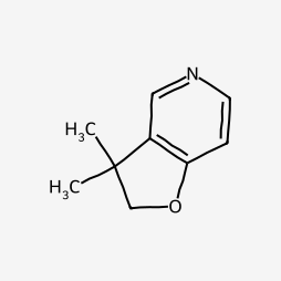 CC1(C)COc2ccncc21